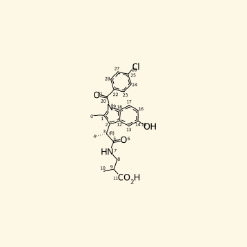 Cc1c([C@@H](C)C(=O)NCC(C)C(=O)O)c2cc(O)ccc2n1C(=O)c1ccc(Cl)cc1